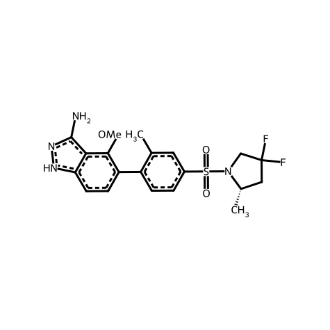 COc1c(-c2ccc(S(=O)(=O)N3CC(F)(F)C[C@@H]3C)cc2C)ccc2[nH]nc(N)c12